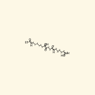 CCC(=O)NCCCCCCN(O)C(=O)CCC(=O)NCCCCCN(O)C(C)=O